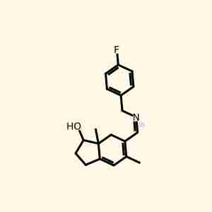 CC1=C(/C=N\Cc2ccc(F)cc2)CC2(C)C(=C1)CCC2O